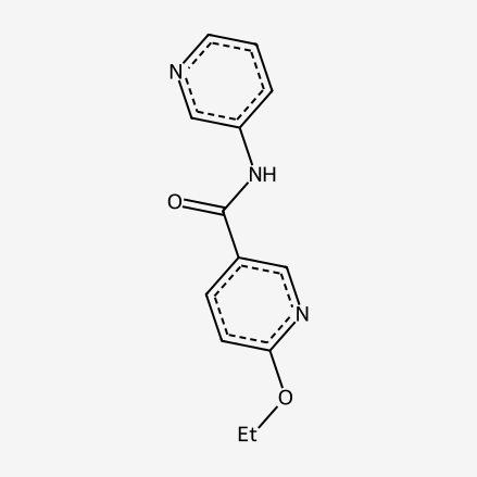 CCOc1ccc(C(=O)Nc2cccnc2)cn1